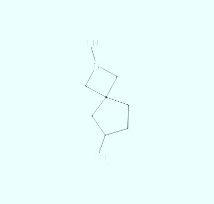 BC1CCC2(C1)CN(B)C2